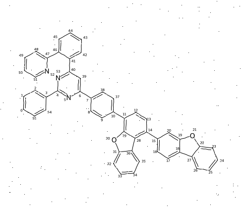 c1ccc(-c2nc(-c3ccc(-c4ccc(-c5ccc6c(c5)oc5ccccc56)c5c4oc4ccccc45)cc3)cc(-c3ccccc3-c3ccccn3)n2)cc1